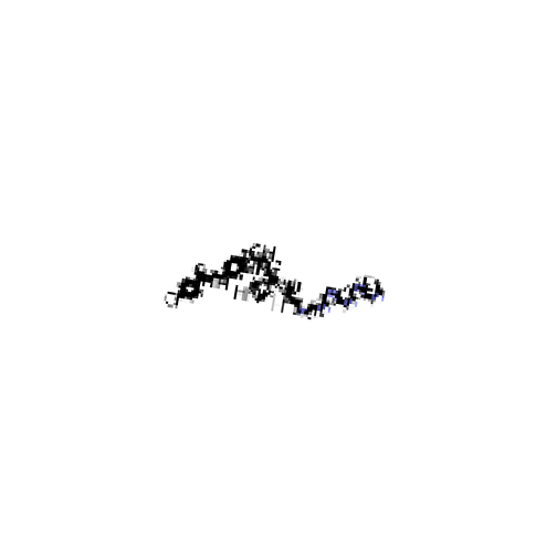 CC/C=C\C/C=C\C/C=C\C/C=C\C/C=C\C/C=C\CCC(=O)NCC(CNC(=O)C(C)(C)Oc1ccc(CCNC(=O)c2ccc(Cl)cc2)cc1)N1CCNCC1